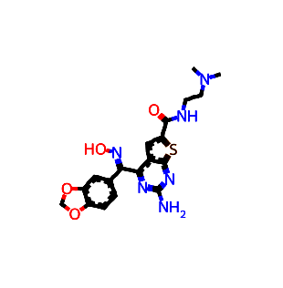 CN(C)CCNC(=O)c1cc2c(C(=NO)c3ccc4c(c3)OCO4)nc(N)nc2s1